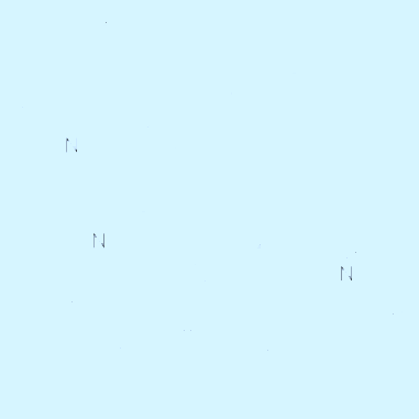 c1ccc(-c2c3ccccc3c(-c3ccccn3)c3ncccc23)nc1